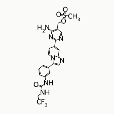 CS(=O)(=O)OCc1cnc(-c2ccn3c(-c4cccc(NC(=O)NCC(F)(F)F)c4)cnc3c2)nc1N